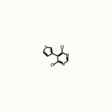 Clc1ncnc(Cl)c1-c1ccsc1